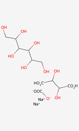 O=C(O)C(O)C(O)C(=O)O.O=C([O-])[O-].OCC(O)C(O)C(O)C(O)CO.[Na+].[Na+]